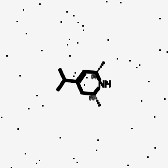 CC(C)C1=C[C@H](C)N[C@H](C)C1